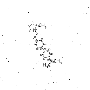 CC1CCCN1CCc1ccc(-c2ccc(N(C)C)cc2)cc1